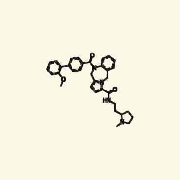 COc1ccccc1-c1ccc(C(=O)N2Cc3ccc(C(=O)NCCC4CCCN4C)n3Cc3ccccc32)cc1